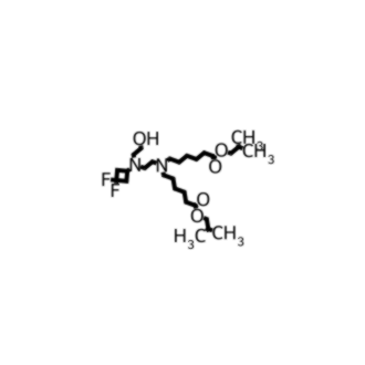 CC(C)COC(=O)CCCCCN(CCCCCC(=O)OCC(C)C)CCN(CCO)C1CC(F)(F)C1